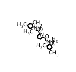 Cc1cc(C)c(NCC(=O)c2cccc(C(=O)CNc3c(C)cc(C)cc3C)n2)c(C)c1